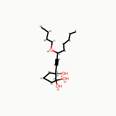 CCCCCC(C#C[C@@]1(O)CCCC1(O)O)OCCCC